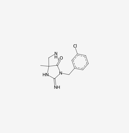 CC1(CN)NC(=N)N(Cc2cccc(Cl)c2)C1=O